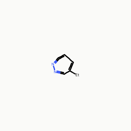 CCC1=CC=C=NN=C1